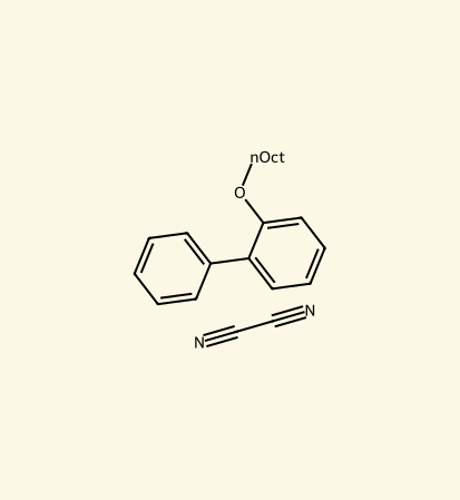 CCCCCCCCOc1ccccc1-c1ccccc1.N#CC#N